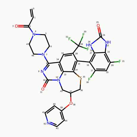 C=CC(=O)N1CCN(c2nc(=O)n3c4c(c(-c5c(F)cc(F)c6[nH]c(=O)[nH]c56)c(C(F)(F)F)cc24)SCC(Oc2ccncc2)C3)CC1